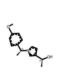 COc1ccc([C@H](C)n2ccc([C@H](C)O)c2)cc1